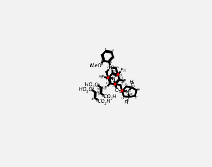 COc1ccccc1N1CCN(CCCN2[C@@H]3CC[C@H]2C[C@H](Oc2c(F)c(F)c(F)c(F)c2F)C3)CC1.O=C(O)/C=C/C(=O)O.O=C(O)/C=C/C(=O)O